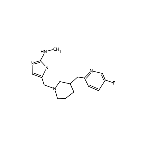 CNc1ncc(CN2CCCC(Cc3ccc(F)cn3)C2)s1